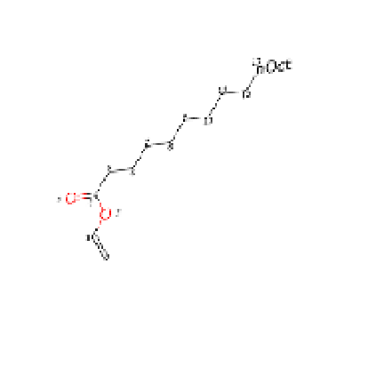 C=COC(=O)CCCCCCCCCCCCCCCC